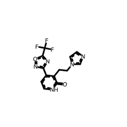 O=c1[nH]ccc(-c2noc(C(F)(F)F)n2)c1CCn1ccnc1